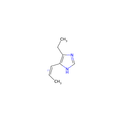 C/C=C\c1[nH]cnc1CC